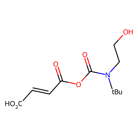 CC(C)(C)N(CCO)C(=O)OC(=O)C=CC(=O)O